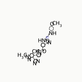 COC1CCC(NC/C=C/C(=O)Nc2ccc(C(=O)c3ccc4c(-c5c(C)cc6c(ncn6C)c5-c5cncnc5)cccn34)cc2C#N)CC1